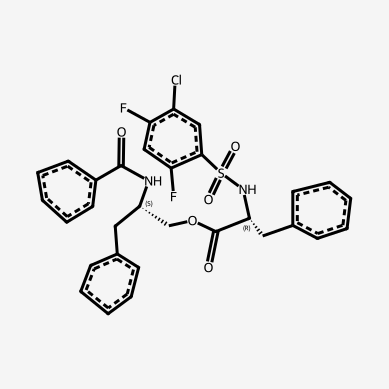 O=C(N[C@H](COC(=O)[C@@H](Cc1ccccc1)NS(=O)(=O)c1cc(Cl)c(F)cc1F)Cc1ccccc1)c1ccccc1